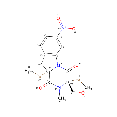 CS[C@@]1(CO)C(=O)N2c3cc([N+](=O)[O-])ccc3C[C@]2(SC)C(=O)N1C